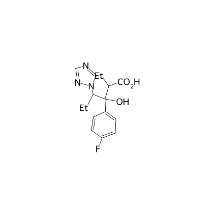 CCC(C(=O)O)C(O)(c1ccc(F)cc1)C(CC)n1cncn1